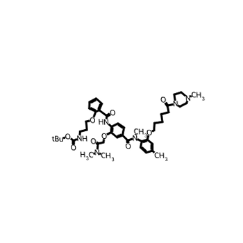 Cc1ccc(N(C)C(=O)c2ccc(NC(=O)c3ccccc3OCCCNC(=O)OC(C)(C)C)c(OCC(=O)N(C)C)c2)c(OCCCCCC(=O)N2CCN(C)CC2)c1